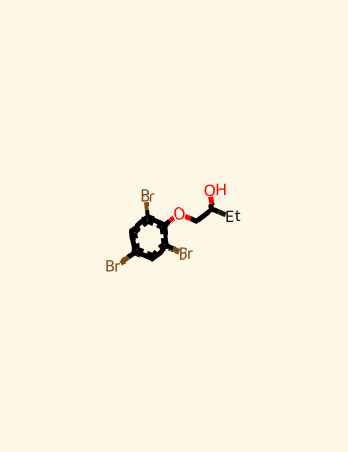 CCC(O)COc1c(Br)cc(Br)cc1Br